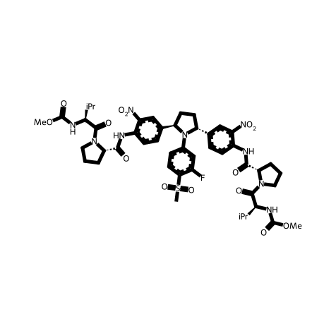 COC(=O)N[C@H](C(=O)N1CCC[C@H]1C(=O)Nc1ccc([C@H]2CC[C@H](c3ccc(NC(=O)[C@@H]4CCCN4C(=O)[C@@H](NC(=O)OC)C(C)C)c([N+](=O)[O-])c3)N2c2ccc(S(C)(=O)=O)c(F)c2)cc1[N+](=O)[O-])C(C)C